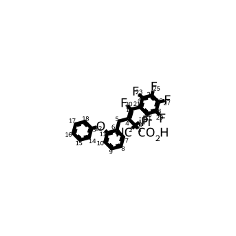 CC(C)C(C#N)(C(=O)O)/C(Cc1ccccc1Oc1ccccc1)=C(/F)c1c(F)c(F)c(F)c(F)c1F